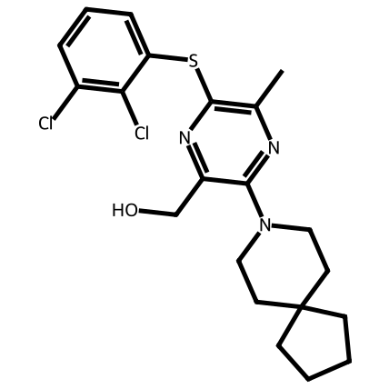 Cc1nc(N2CCC3(CCCC3)CC2)c(CO)nc1Sc1cccc(Cl)c1Cl